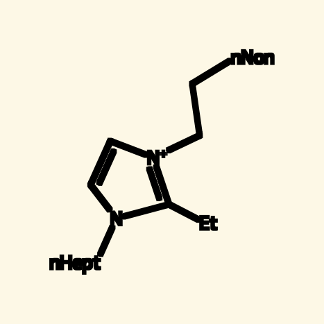 CCCCCCCCCCC[n+]1ccn(CCCCCCC)c1CC